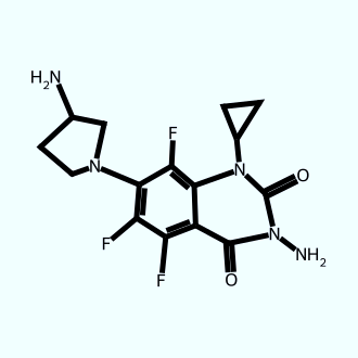 NC1CCN(c2c(F)c(F)c3c(=O)n(N)c(=O)n(C4CC4)c3c2F)C1